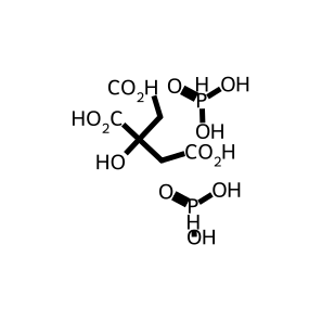 O=C(O)CC(O)(CC(=O)O)C(=O)O.O=[PH](O)O.O=[PH](O)O